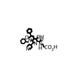 O=C(O)CCNC(=O)c1nc(-c2ccncc2)c2c(cc(-c3ccccc3)c(=O)n2CC2CCCCC2)c1O